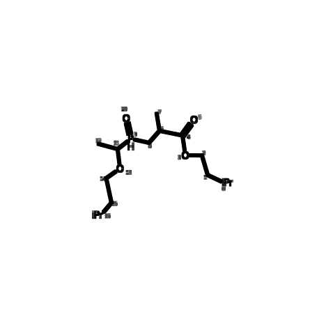 CC(C)CCOC(=O)C(C)C[PH](=O)C(C)OCCC(C)C